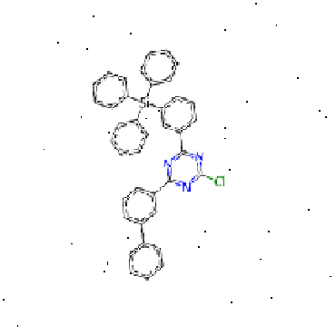 Clc1nc(-c2cccc(-c3ccccc3)c2)nc(-c2cccc([Si](c3ccccc3)(c3ccccc3)c3ccccc3)c2)n1